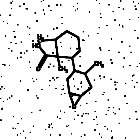 CC1CC2OC2CC1C1CCCC(C)C1(C)C(=O)O